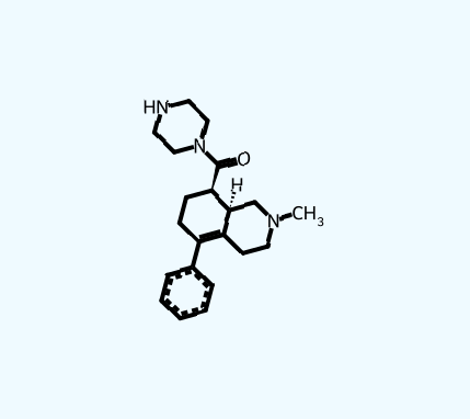 CN1CCC2=C(c3ccccc3)CC[C@@H](C(=O)N3CCNCC3)[C@H]2C1